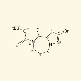 CC1c2cc(Br)nn2CCCN1C(=O)OC(C)(C)C